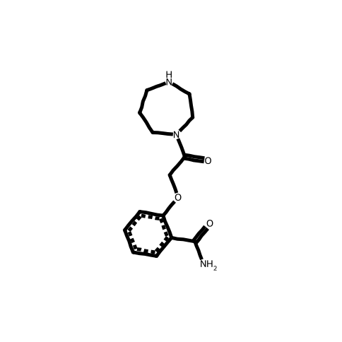 NC(=O)c1ccccc1OCC(=O)N1CCCNCC1